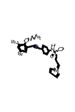 COc1c(/C=C/c2ccc(NS(=O)(=O)CCCN3CCCC3)cc2)cc(Br)cc1C(C)(C)C